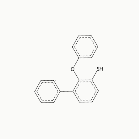 Sc1cccc(-c2[c]cccc2)c1Oc1ccccc1